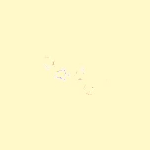 CSc1ccccc1-c1cncc(-n2nnc(-c3ccccn3)n2)c1